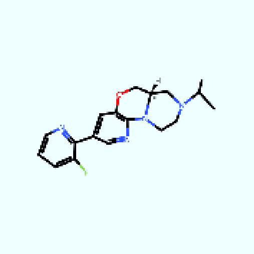 CC(C)N1CCN2c3ncc(-c4ncccc4F)cc3OC[C@@H]2C1